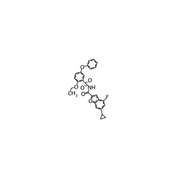 CCOc1ccc(Oc2ccccc2)cc1S(=O)(=O)NC(=O)c1cc2c(F)cc(C3CC3)cc2o1